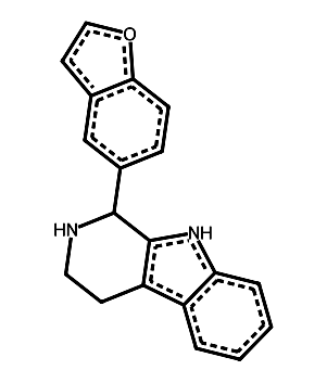 c1ccc2c3c([nH]c2c1)C(c1ccc2occc2c1)NCC3